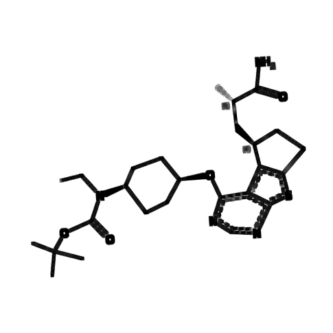 CCN(C(=O)OC(C)(C)C)[C@H]1CC[C@@H](Oc2ncnc3sc4c(c23)[C@@H](C[C@H](C)C(N)=O)CC4)CC1